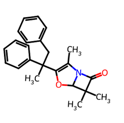 CC1=C(C(C)(Cc2ccccc2)c2ccccc2)OC2N1C(=O)C2(C)C